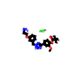 COc1cc(-c2nnn(Cc3cccc(OCCN)c3)n2)ccc1OC(=O)C(C)(C)C.Cl